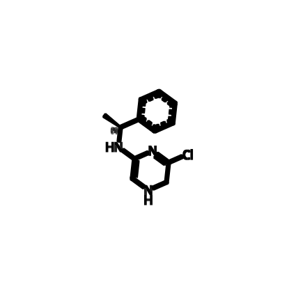 C[C@H](NC1=CNCC(Cl)=N1)c1ccccc1